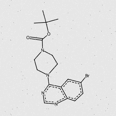 CC(C)(C)OC(=O)N1CCN(c2ncnc3ccc(Br)cc23)CC1